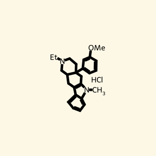 CCN1CCC2(c3cccc(OC)c3)Cc3c(c4ccccc4n3C)CC2C1.Cl